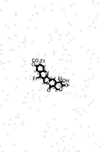 CCOC(=O)Oc1ccc2nc3c(c(CC)c2c1)Cn1c-3cc2c(c1=O)COC(=O)[C@]2(O)CC